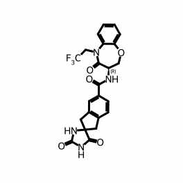 O=C1NC(=O)C2(Cc3ccc(C(=O)N[C@@H]4COc5ccccc5N(CC(F)(F)F)C4=O)cc3C2)N1